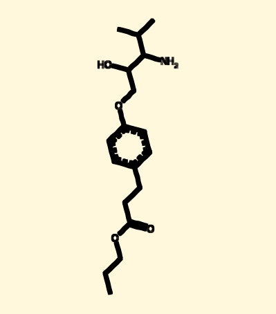 CCCOC(=O)CCc1ccc(OCC(O)C(N)C(C)C)cc1